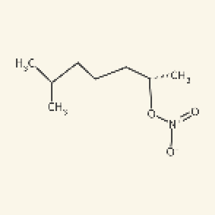 CC(C)CCC[C@H](C)O[N+](=O)[O-]